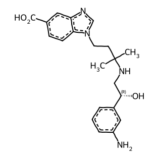 CC(C)(CCn1cnc2cc(C(=O)O)ccc21)NC[C@H](O)c1cccc(N)c1